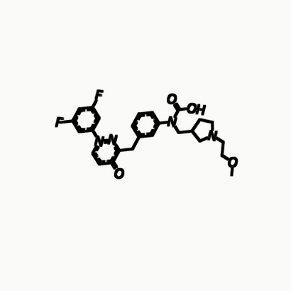 COCCN1CCC(CN(C(=O)O)c2cccc(Cc3nn(-c4cc(F)cc(F)c4)ccc3=O)c2)C1